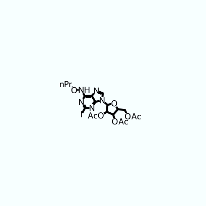 CCCONc1nc(I)nc2c1ncn2C1OC(COC(C)=O)C(OC(C)=O)C1OC(C)=O